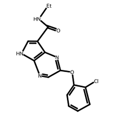 CCNC(=O)c1c[nH]c2ncc(Oc3ccccc3Cl)nc12